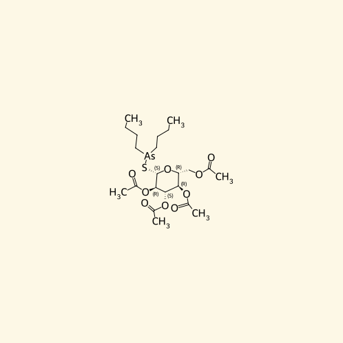 CCCC[As](CCCC)S[C@@H]1O[C@H](COC(C)=O)[C@@H](OC(C)=O)[C@H](OC(C)=O)[C@H]1OC(C)=O